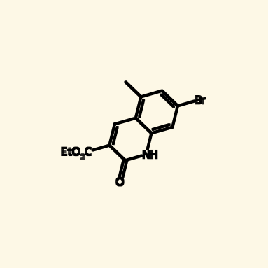 CCOC(=O)c1cc2c(C)cc(Br)cc2[nH]c1=O